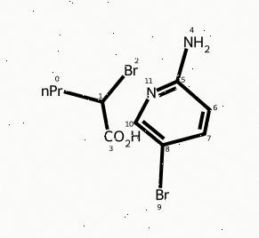 CCCC(Br)C(=O)O.Nc1ccc(Br)cn1